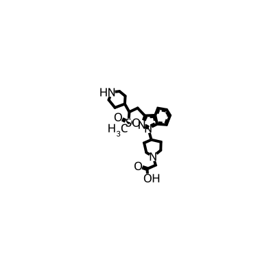 CS(=O)(=O)C(Cc1nn(C2CCN(CC(=O)O)CC2)c2ccccc12)C1CCNCC1